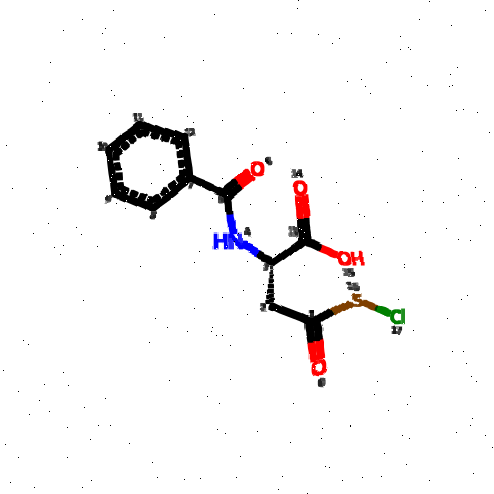 O=C(C[C@H](NC(=O)c1ccccc1)C(=O)O)SCl